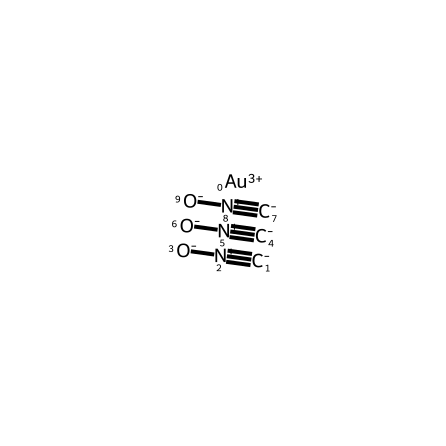 [Au+3].[C-]#[N+][O-].[C-]#[N+][O-].[C-]#[N+][O-]